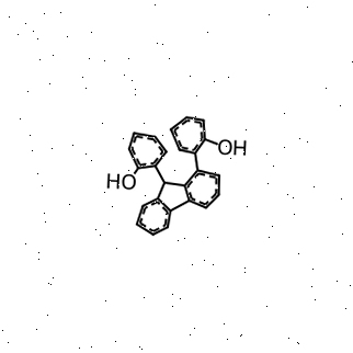 Oc1ccccc1-c1cccc2c1C(c1ccccc1O)c1ccccc1-2